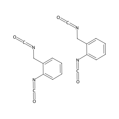 O=C=NCc1ccccc1N=C=O.O=C=NCc1ccccc1N=C=O